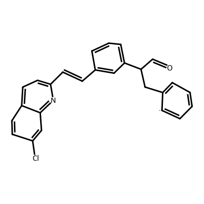 O=CC(Cc1[c]cccc1)c1cccc(C=Cc2ccc3ccc(Cl)cc3n2)c1